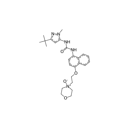 Cn1nc(C(C)(C)C)cc1NC(=O)Nc1ccc(OCC[N+]2([O-])CCOCC2)c2ccccc12